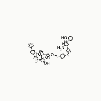 CC(C)C(C(=O)N1C[C@H](O)C[C@H]1C(=O)N[C@@H](C)c1ccc(-c2cncs2)cc1)c1cc(OCCCc2ccc(C(C)n3cc(-c4cc(-c5ccccc5O)nnc4N)cn3)cc2)no1